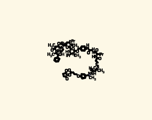 CCC[C@@H](CCC(=O)N1CCC[C@@H]1[C@@H](OC)[C@@H](C)C(=O)N[C@H](C)[C@@H](O)c1ccccc1)N(C)C(=O)CNC(C(C)C)N(C)C(=O)OCc1ccc(NC(=O)CNC(=O)C(NC(=O)CCSSC(C)(C)CC(=O)N/N=C(\C)c2ccc(OCCCC(=O)ON3C(=O)CCC3=O)cc2)C(C)C)cc1